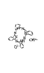 [O-2].[O-2].[Ti+4].c1ccc2c(c1)-c1nc-2nc2[nH]c(nc3nc(nc4[nH]c(n1)c1ccccc41)-c1ccccc1-3)c1ccccc21